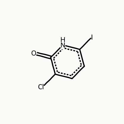 O=c1[nH]c(I)ccc1Cl